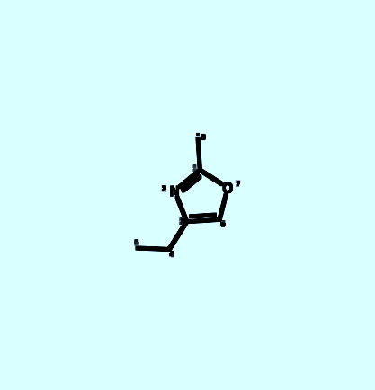 [CH2]c1nc(CC)co1